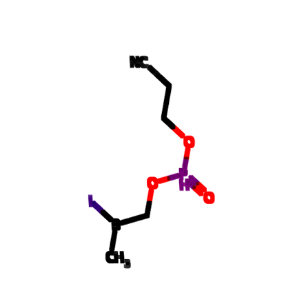 CB(I)CO[PH](=O)OCCC#N